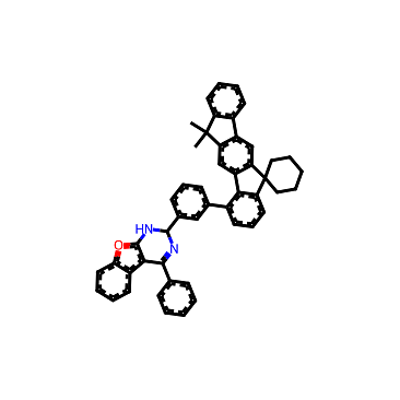 CC1(C)c2ccccc2-c2cc3c(cc21)-c1c(-c2cccc(C4N=C(c5ccccc5)c5c(oc6ccccc56)N4)c2)cccc1C31CCCCC1